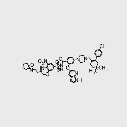 CC1(C)CCC(CN2CCN(c3ccc(C(=O)NS(=O)(=O)c4cc5c(c([N+](=O)[O-])c4)N[C@H](CCN=S4(=O)CCCC4)CO5)c(Oc4cnc5[nH]ccc5c4)c3)CC2)=C(c2ccc(Cl)cc2)C1